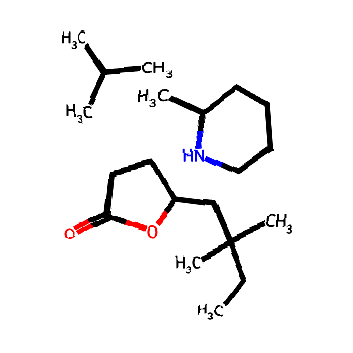 CC(C)C.CC1CCCCN1.CCC(C)(C)CC1CCC(=O)O1